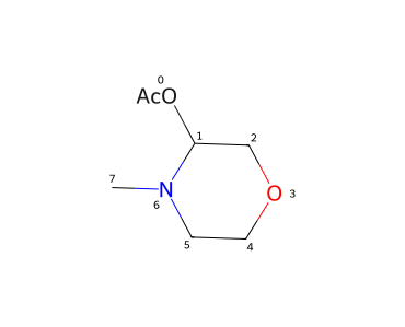 CC(=O)OC1COCCN1C